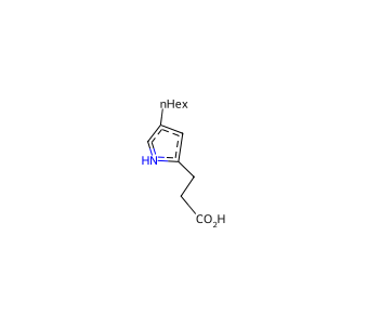 CCCCCCc1c[nH]c(CCC(=O)O)c1